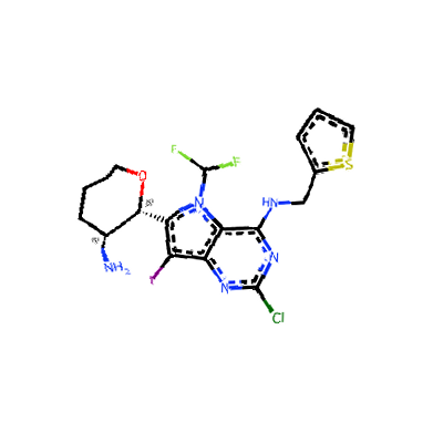 N[C@H]1CCCO[C@@H]1c1c(I)c2nc(Cl)nc(NCc3cccs3)c2n1C(F)F